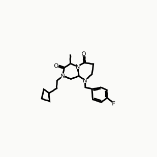 CC1C(=O)N(CCC2CCC2)CC2N(Cc3ccc(F)cc3)CCC(=O)N12